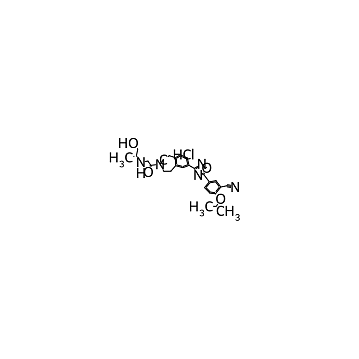 CC(C)Oc1ccc(-c2nc(-c3ccc4c(c3)CCN(C(=O)CN[C@H](C)CO)CC4)no2)cc1C#N.Cl